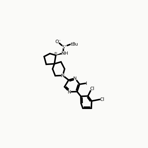 CC(C)(C)[S+]([O-])N[C@@H]1CCCC12CCN(c1cnc(-c3cccc(Cl)c3Cl)c(I)n1)CC2